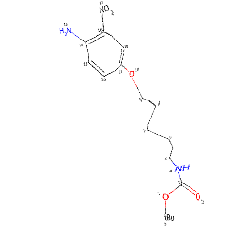 CC(C)(C)OC(=O)NCCCCCOc1ccc(N)c([N+](=O)[O-])c1